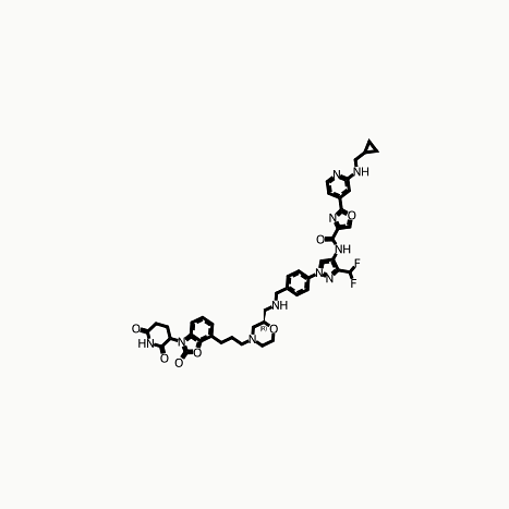 O=C1CCC(n2c(=O)oc3c(CCCN4CCO[C@H](CNCc5ccc(-n6cc(NC(=O)c7coc(-c8ccnc(NCC9CC9)c8)n7)c(C(F)F)n6)cc5)C4)cccc32)C(=O)N1